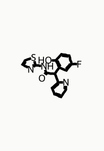 O=C(Nc1nccs1)C(c1ccccn1)c1cc(F)ccc1O